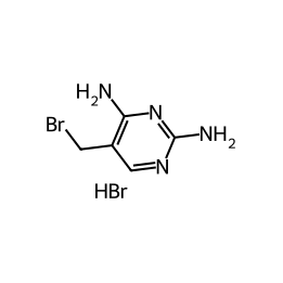 Br.Nc1ncc(CBr)c(N)n1